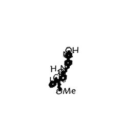 COCCCn1c(C2CCCN(C(=O)C[C@H](N)Cc3ccc(-c4ccc(O)nc4)cc3)C2)c(C(F)(F)F)c2c(I)cccc21